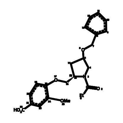 CCC(=O)N1CC(OCc2ccccc2)C[C@H]1COc1ccc(C(=O)O)cc1OC